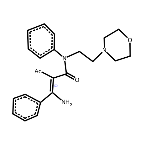 CC(=O)/C(C(=O)N(CCN1CCOCC1)c1ccccc1)=C(/N)c1ccccc1